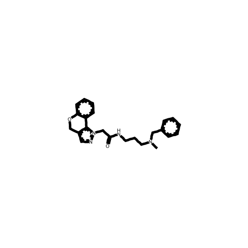 CN(CCCNC(=O)Cn1ncc2c1-c1ccccc1OC2)Cc1ccccc1